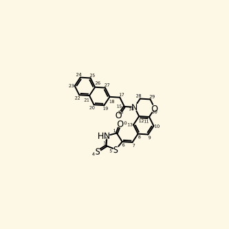 O=C1NC(=S)SC1=Cc1ccc2c(c1)N(C(=O)Cc1ccc3ccccc3c1)CCO2